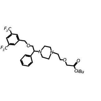 CC(C)COC(=O)COCCN1CCN(C(COCc2cc(C(F)(F)F)cc(C(F)(F)F)c2)c2ccccc2)CC1